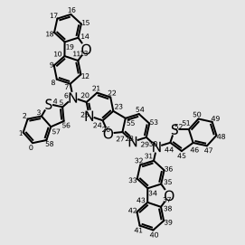 c1ccc2sc(N(c3ccc4c(c3)oc3ccccc34)c3ccc4c(n3)oc3nc(N(c5ccc6c(c5)oc5ccccc56)c5cc6ccccc6s5)ccc34)cc2c1